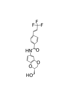 O=C(Nc1ccc2c(c1)OC[C@@H](CO)O2)c1ccc(C=CC(F)(F)F)cc1